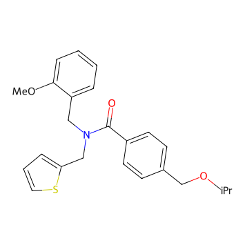 COc1ccccc1CN(Cc1cccs1)C(=O)c1ccc(COC(C)C)cc1